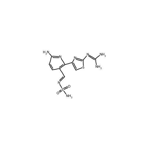 NC(N)=Nc1nc(-c2nc(N)ccc2C=NS(N)(=O)=O)cs1